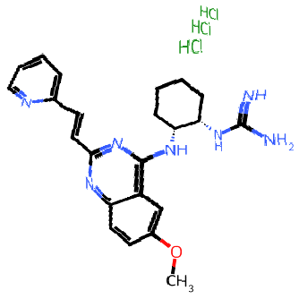 COc1ccc2nc(/C=C/c3ccccn3)nc(N[C@@H]3CCCC[C@@H]3NC(=N)N)c2c1.Cl.Cl.Cl